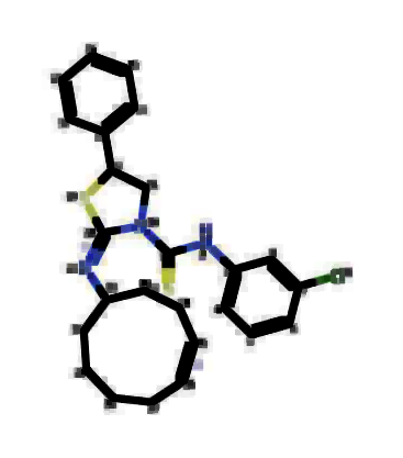 S=C(Nc1cccc(Cl)c1)N1CC(c2ccccc2)S/C1=N/C1CC/C=C\CCCC1